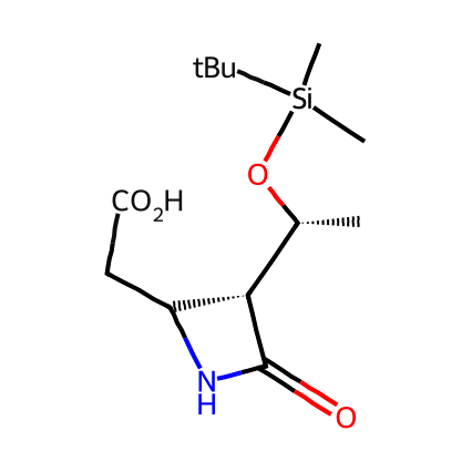 C[C@@H](O[Si](C)(C)C(C)(C)C)[C@@H]1C(=O)NC1CC(=O)O